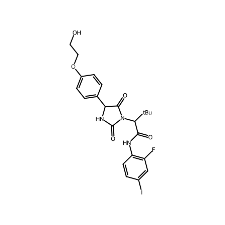 CC(C)(C)C(C(=O)Nc1ccc(I)cc1F)N1C(=O)NC(c2ccc(OCCO)cc2)C1=O